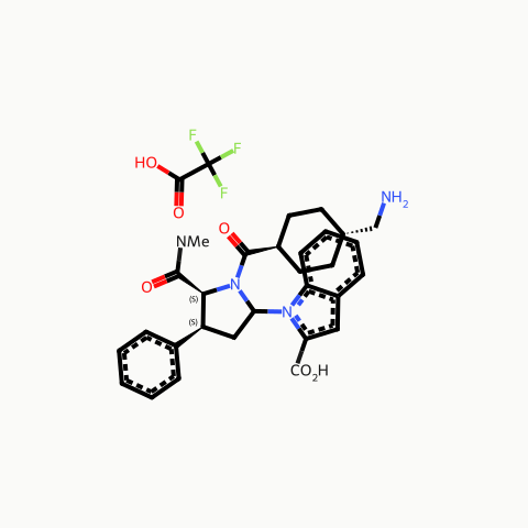 CNC(=O)[C@@H]1[C@H](c2ccccc2)CC(n2c(C(=O)O)cc3ccccc32)N1C(=O)[C@H]1CC[C@H](CN)CC1.O=C(O)C(F)(F)F